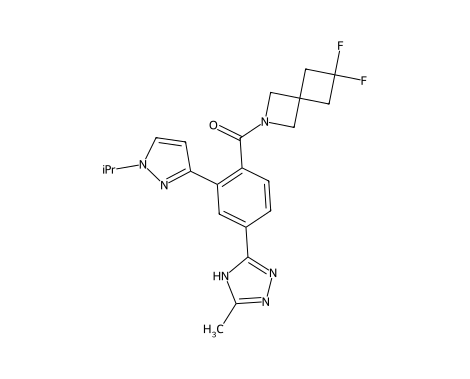 Cc1nnc(-c2ccc(C(=O)N3CC4(C3)CC(F)(F)C4)c(-c3ccn(C(C)C)n3)c2)[nH]1